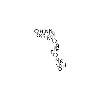 Nc1ncnc2c1c(-c1ccc(Oc3ccccc3)cc1)nn2C1CCC(CN2CC3CCC2CN3c2cc3c(cc2F)CN(C2CCC(=O)NC2=O)C3)CC1